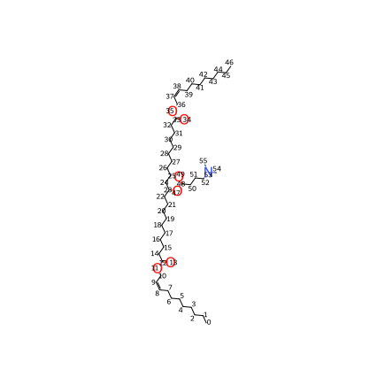 CCCCCCCC/C=C\COC(=O)CCCCCCCCCC(CCCCCCCCCC(=O)OC/C=C\CCCCCCCC)OC(=O)CCCN(C)C